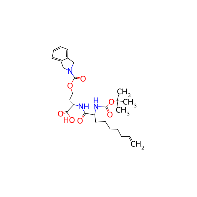 C=CCCCCC[C@H](NC(=O)OC(C)(C)C)C(=O)N[C@@H](CCOC(=O)N1Cc2ccccc2C1)C(=O)O